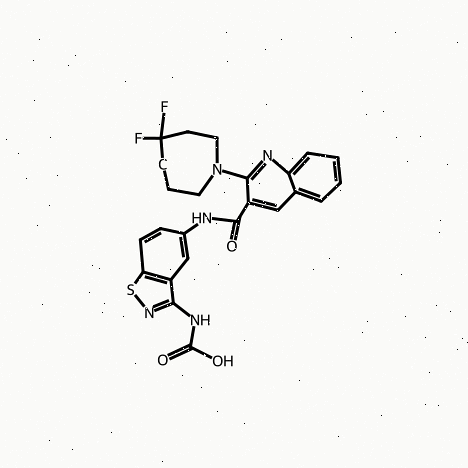 O=C(O)Nc1nsc2ccc(NC(=O)c3cc4ccccc4nc3N3CCCC(F)(F)CC3)cc12